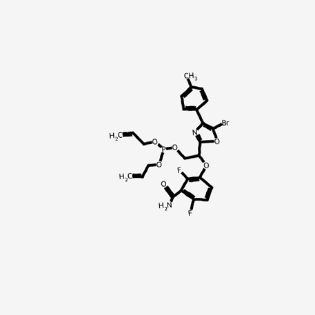 C=CCOP(OCC=C)OCC(Oc1ccc(F)c(C(N)=O)c1F)c1nc(-c2ccc(C)cc2)c(Br)o1